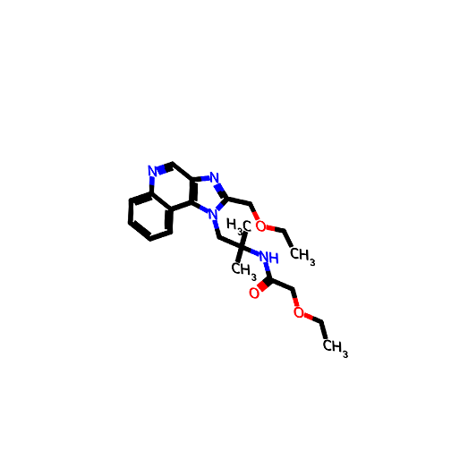 CCOCC(=O)NC(C)(C)Cn1c(COCC)nc2cnc3ccccc3c21